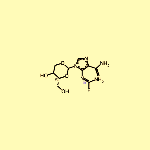 C=C(N)c1ncn(C2OCC(O)[C@@H](CO)O2)c1/N=C(\N)F